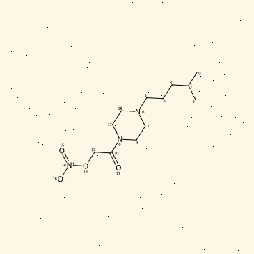 CC(C)CCCN1CCN(C(=O)CO[N+](=O)[O-])CC1